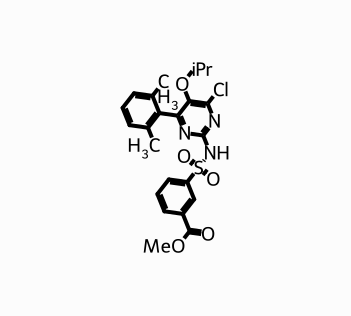 COC(=O)c1cccc(S(=O)(=O)Nc2nc(Cl)c(OC(C)C)c(-c3c(C)cccc3C)n2)c1